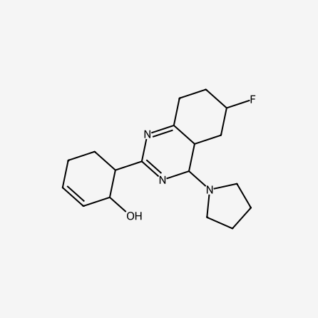 OC1C=CCCC1C1=NC(N2CCCC2)C2CC(F)CCC2=N1